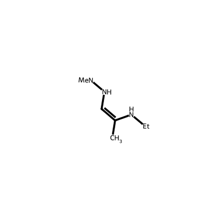 CCN/C(C)=C\NNC